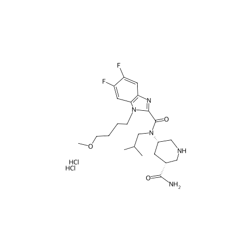 COCCCCn1c(C(=O)N(CC(C)C)[C@@H]2CNC[C@H](C(N)=O)C2)nc2cc(F)c(F)cc21.Cl.Cl